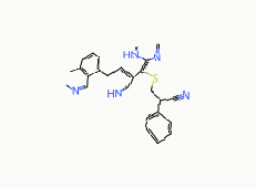 C=N/C(NC)=C(SCC(C#N)c1ccccc1)/C(C=N)=C/Cc1cccc(C)c1/C=N\C